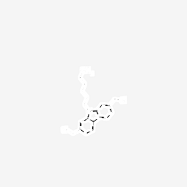 CCCCCCn1c2cc(CCl)ccc2c2ccc(CCl)cc21